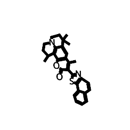 Cc1c(-c2nc3ccc4ccccc4c3s2)c(=O)oc2c3c4c(cc12)C(C)(C)CCN4CCC3C